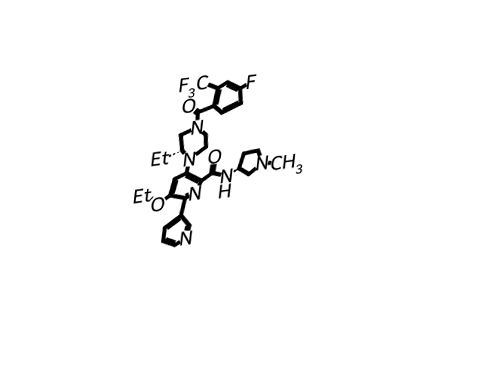 CCOc1cc(N2CCN(C(=O)c3ccc(F)cc3C(F)(F)F)C[C@H]2CC)c(C(=O)N[C@@H]2CCN(C)C2)nc1-c1cccnc1